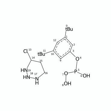 CC(C)(C)c1cc(OP(O)OO)cc(C(C)(C)C)c1.ClC1CCNNN1